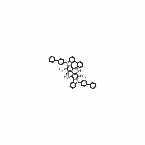 Bc1c(-c2c(B)c(B)c3c(c2B)c2c(-c4ccccc4)cccc2n3-c2ccc(-c3ccccc3)cc2)c(B)c2c3ccccc3n(-c3ccc(-c4ccccc4)cc3)c2c1B